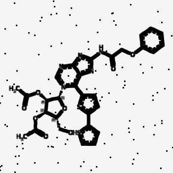 CC(=O)O[C@@H]1[C@H](OC(C)=O)[C@@H](CO)O[C@H]1n1cnc2nc(NC(=O)COc3ccccc3)nc-2c1-c1ccc(-c2cccs2)s1